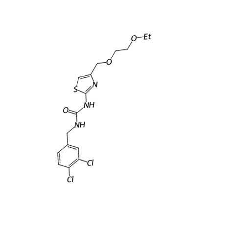 CCOCCOCc1csc(NC(=O)NCc2ccc(Cl)c(Cl)c2)n1